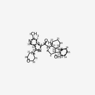 Cc1cn2c(C(=O)N3CC[C@](O)(c4ccccc4)[C@H]4CCCC[C@H]43)nc(N3CCOCC3)c2cn1